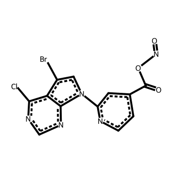 O=NOC(=O)c1ccnc(-n2cc(Br)c3c(Cl)ncnc32)c1